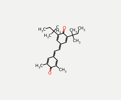 CCC(C)(C)C1=CC(=CC=C2C=C(C)C(=O)C(C)=C2)C=C(C(C)(C)CC)C1=O